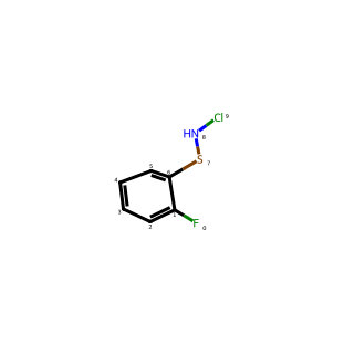 Fc1ccccc1SNCl